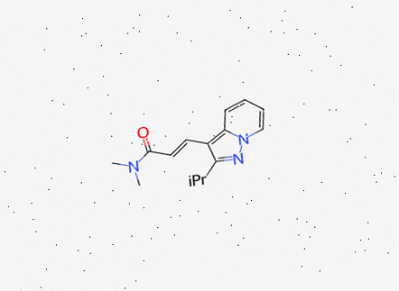 CC(C)c1nn2ccccc2c1/C=C/C(=O)N(C)C